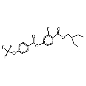 CCC(CC)COC(=O)c1ccc(OC(=O)c2ccc(OC(F)(F)F)cc2)cc1F